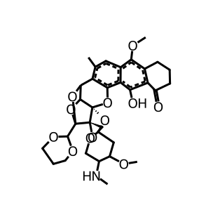 CNC1COC(O[C@@]23Oc4c(c(C)cc5c(OC)c6c(c(O)c45)C(=O)CCC6)C4OC(C5OCCCO5)(OC42)[C@]32CO2)CC1OC